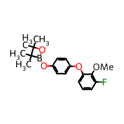 COc1c(F)cccc1Oc1ccc(OB2OC(C)(C)C2(C)C)cc1